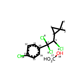 CC1(C)CC1C(Cl)C(Cl)(Cl)c1ccc(Cl)cc1.O=C(O)O